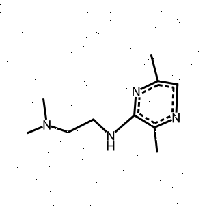 Cc1cnc(C)c(NCCN(C)C)n1